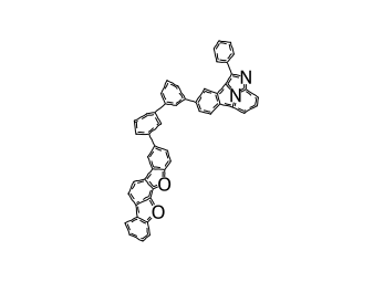 c1ccc(-c2nc3cccc4c5ccc(-c6cccc(-c7cccc(-c8ccc9oc%10c(ccc%11c%12ccccc%12oc%11%10)c9c8)c7)c6)cc5c2n34)cc1